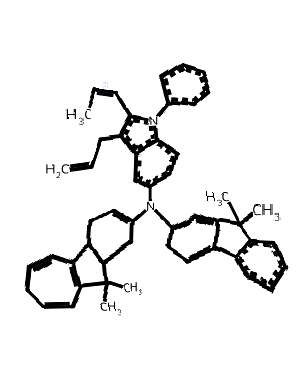 C=CCc1c(/C=C\C)n(-c2ccccc2)c2ccc(N(C3=CCC4C5=C(C=CCC=C5)C(C)(C)C4C3)C3C=C4C(=CC3)c3ccccc3C4(C)C)cc12